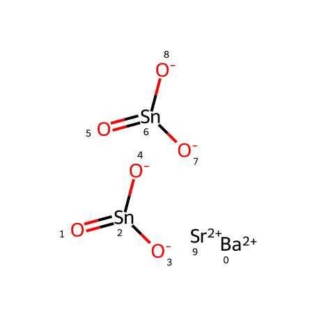 [Ba+2].[O]=[Sn]([O-])[O-].[O]=[Sn]([O-])[O-].[Sr+2]